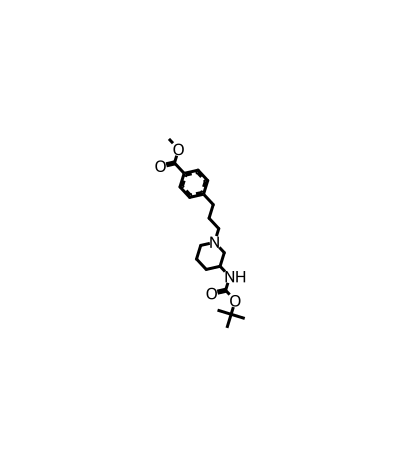 COC(=O)c1ccc(CCCN2CCCC(NC(=O)OC(C)(C)C)C2)cc1